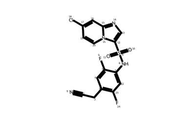 N#CCc1cc(F)c(NS(=O)(=O)c2cnc3cc(Cl)ccn23)cc1F